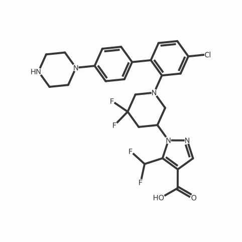 O=C(O)c1cnn(C2CN(c3cc(Cl)ccc3-c3ccc(N4CCNCC4)cc3)CC(F)(F)C2)c1C(F)F